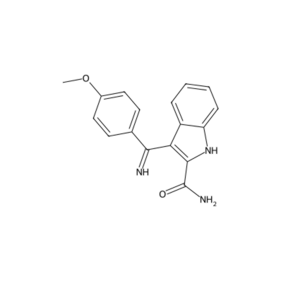 COc1ccc(C(=N)c2c(C(N)=O)[nH]c3ccccc23)cc1